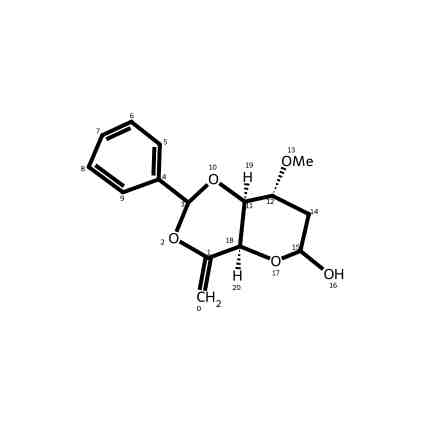 C=C1OC(c2ccccc2)O[C@H]2[C@H](OC)CC(O)O[C@@H]12